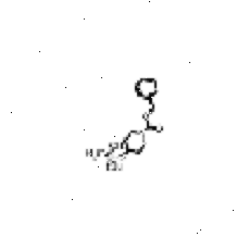 CC(C)(C)[Si](C)(C)OC1CCN(C(=O)OCc2ccccc2)CC1